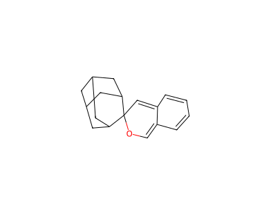 C1=c2ccccc2=CC2(O1)C1CC3CC(C1)CC2C3